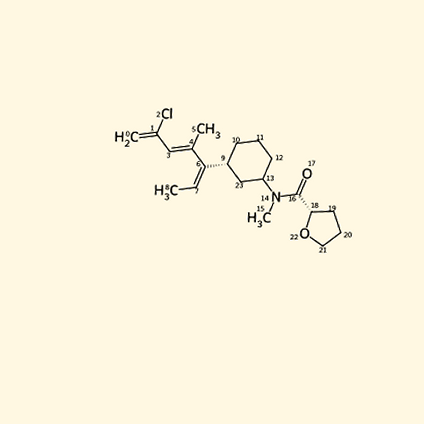 C=C(Cl)/C=C(C)/C(=C\C)[C@@H]1CCCC(N(C)C(=O)[C@@H]2CCCO2)C1